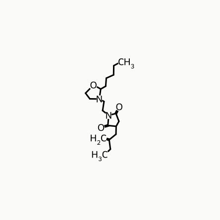 C=C(CC)CC1CC(=O)N(CCN2CCOC2CCCCC)C1=O